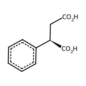 O=C(O)C[C@@H](C(=O)O)c1ccccc1